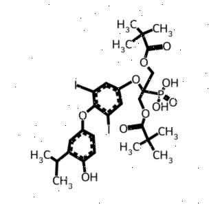 CC(C)c1cc(Oc2c(I)cc(OC(COC(=O)C(C)(C)C)(COC(=O)C(C)(C)C)P(=O)(O)O)cc2I)ccc1O